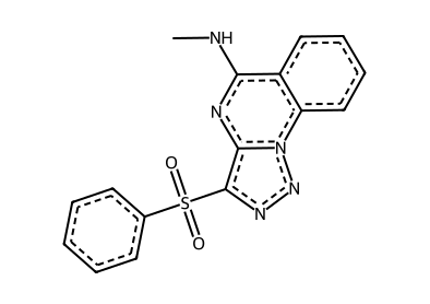 CNc1nc2c(S(=O)(=O)c3ccccc3)nnn2c2ccccc12